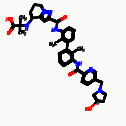 Cc1c(NC(=O)c2ccc(CN3CC[C@@H](O)C3)cn2)cccc1-c1cccc(NC(=O)c2cc3n(n2)CCCC3NC(C)(C)C(=O)O)c1C